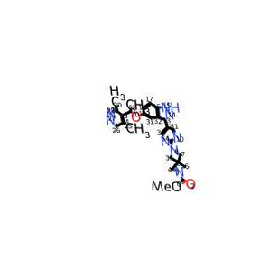 COC(=O)N1CC2(C1)CN(c1ncc(-c3n[nH]c4ccc(O[C@H](C)c5c(C)cnnc5C)cc34)cn1)C2